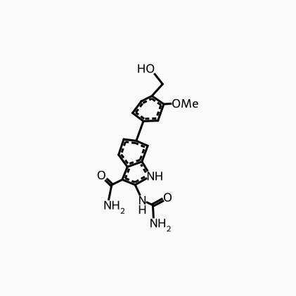 COc1cc(-c2ccc3c(C(N)=O)c(NC(N)=O)[nH]c3c2)ccc1CO